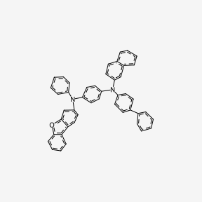 c1ccc(-c2ccc(N(c3ccc(N(c4ccccc4)c4ccc5c(c4)oc4ccccc45)cc3)c3ccc4ccccc4c3)cc2)cc1